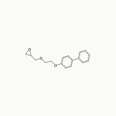 c1ccc(-c2ccc(OCCOCC3CO3)cc2)cc1